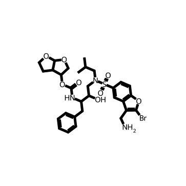 CC(C)CN(CC(O)C(Cc1ccccc1)NC(=O)OC1COC2OCCC12)S(=O)(=O)c1ccc2oc(Br)c(CN)c2c1